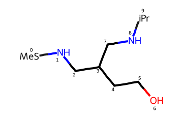 CSNCC(CCO)CNC(C)C